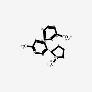 Cc1ccc([C@@H]2CCCN2C)cn1.O=C(O)c1ccccc1